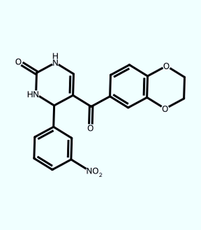 O=C1NC=C(C(=O)c2ccc3c(c2)OCCO3)C(c2cccc([N+](=O)[O-])c2)N1